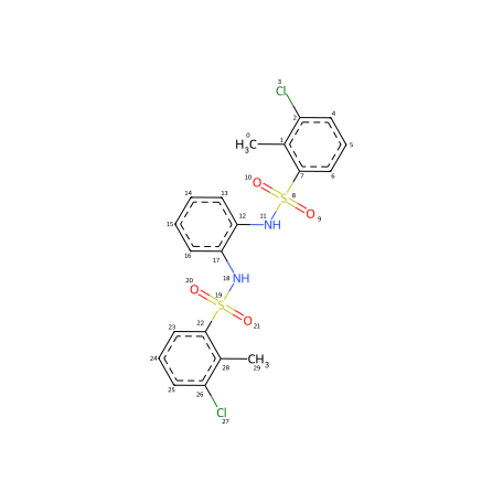 Cc1c(Cl)cccc1S(=O)(=O)Nc1ccccc1NS(=O)(=O)c1cccc(Cl)c1C